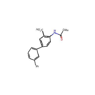 COC(=O)Nc1ccc(-c2cccc(C(C)C)c2)cc1C(=O)O